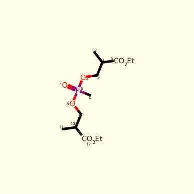 CCOC(=O)C(C)COP(C)(=O)OCC(C)C(=O)OCC